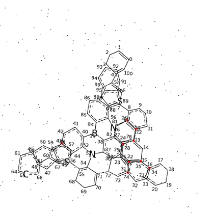 C1=CCCC(C2=CC(c3cccc(C4=CC(C5=CCCC=C5)=CCC4)c3N3c4cc(-c5ccccc5)cc5c4B(c4ccc6c(sc7ccccc76)c4N5C4=C(c5cccc(-c6ccccc6)c5)CCC=C4C4C=CC=C(C5=CC=CCC5)C4)c4ccc5c(sc6ccccc65)c43)=CCC2)=C1